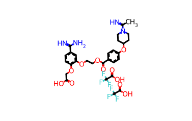 CC(=N)N1CCC(Oc2ccc(C(=O)OCCOc3cc(C(=N)N)ccc3OCC(=O)O)cc2)CC1.O=C(O)C(F)(F)F.O=C(O)C(F)(F)F